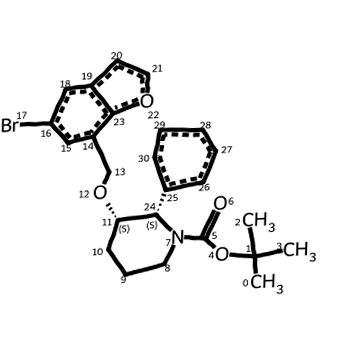 CC(C)(C)OC(=O)N1CCC[C@H](OCc2cc(Br)cc3ccoc23)[C@@H]1c1ccccc1